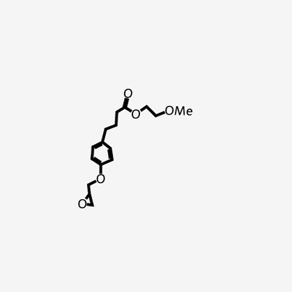 COCCOC(=O)CCCc1ccc(OCC2CO2)cc1